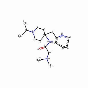 CC(C)N1CCC(Cc2ccccn2)(NC(=O)CN(C)C)CC1